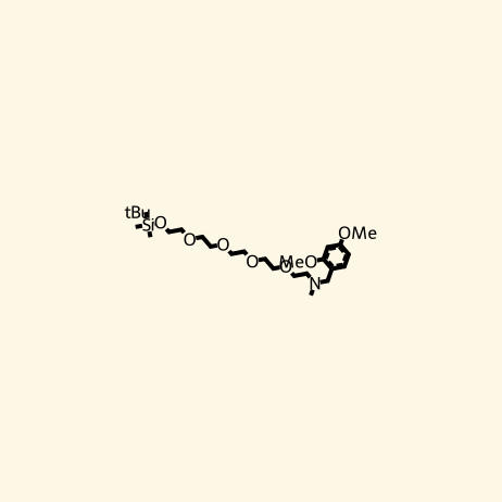 COc1ccc(CN(C)CCOCCOCCOCCOCCO[Si](C)(C)C(C)(C)C)c(OC)c1